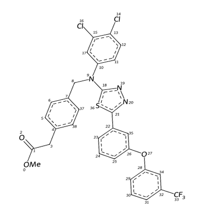 COC(=O)Cc1ccc(CN(c2ccc(Cl)c(Cl)c2)c2nnc(-c3cccc(Oc4cccc(C(F)(F)F)c4)c3)s2)cc1